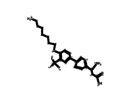 CCCCCCCCOc1ccc(-c2ccc(C(N)CC(=O)O)nc2)cc1C(F)(F)F